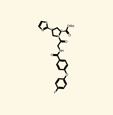 COC(=O)[C@@H]1C[C@H](c2nccs2)CN1C(=O)CNC(=O)c1ccc(Oc2ccc(F)cc2)cc1